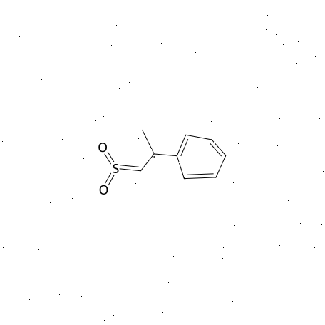 C[C](C=S(=O)=O)c1ccccc1